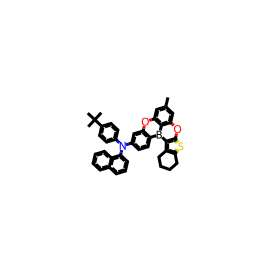 Cc1cc2c3c(c1)Oc1sc4c(c1B3c1ccc(N(c3ccc(C(C)(C)C)cc3)c3cccc5ccccc35)cc1O2)CCCC4